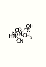 CCN(C(=O)CCC(=O)O)c1c(Cl)n[nH]c1-c1cccnc1